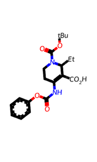 CCC1C(C(=O)O)=C(NC(=O)Oc2ccccc2)CCN1C(=O)OC(C)(C)C